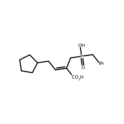 CC(C)CP(=O)(O)C/C(=C\CC1CCCC1)C(=O)O